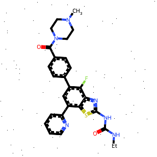 CCNC(=O)Nc1nc2c(F)c(-c3ccc(C(=O)N4CCN(C)CC4)cc3)cc(-c3ccccn3)c2s1